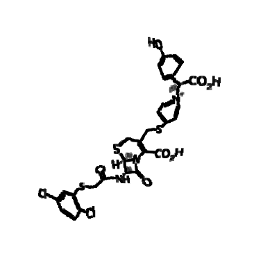 O=C(CSc1cc(Cl)ccc1Cl)N[C@H]1C(=O)N2C(C(=O)O)=C(CSc3cc[n+]([C@H](C(=O)O)c4ccc(O)cc4)cc3)CS[C@H]12